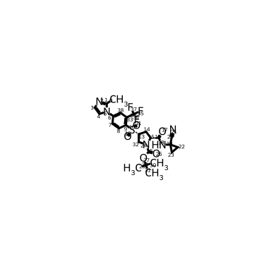 Cc1nccn1-c1ccc(S(=O)(=O)[C@@H]2C[C@@H](C(=O)NC3(C#N)CC3)N(C(=O)OC(C)(C)C)C2)c(C(F)(F)F)c1